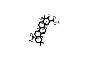 COC(=O)[C@]12CCC(C)(C)C[C@H]1C1=CC[C@@H]3[C@@]4(C)CC(C(=O)O)C(=O)C(C)(C)[C@@H]4CC[C@@]3(C)[C@]1(C)CC2